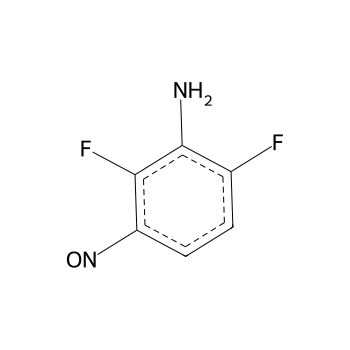 Nc1c(F)ccc(N=O)c1F